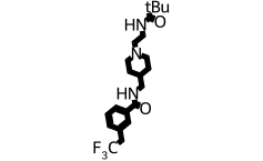 CC(C)(C)C(=O)NCCN1CCC(CNC(=O)c2cccc(CC(F)(F)F)c2)CC1